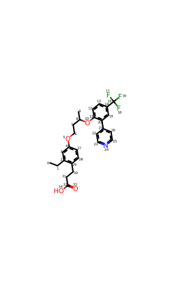 CCc1cc(OCCC(C)Oc2ccc(C(F)(F)F)cc2-c2ccncc2)ccc1CCC(=O)O